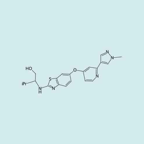 CC(C)C(CO)Nc1nc2ccc(Oc3ccnc(-c4cnn(C)c4)c3)cc2s1